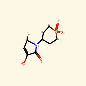 CCC1C=C(O)C(=O)N1C1CCS(=O)(=O)CC1